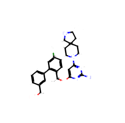 Nc1nc(O[C@H](c2ccc(Cl)cc2-c2cccc(CO)c2)C(F)(F)F)cc(N2CCC3(CC2)CN[C@H](C(=O)O)C3)n1